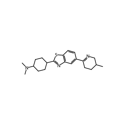 CC1CCC(c2ccc3sc(C4CCC(N(C)C)CC4)nc3c2)=NC1